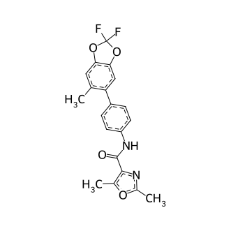 Cc1nc(C(=O)Nc2ccc(-c3cc4c(cc3C)OC(F)(F)O4)cc2)c(C)o1